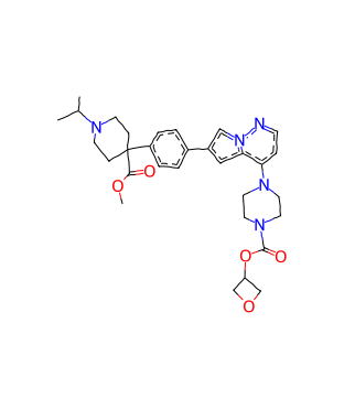 COC(=O)C1(c2ccc(-c3cc4c(N5CCN(C(=O)OC6COC6)CC5)ccnn4c3)cc2)CCN(C(C)C)CC1